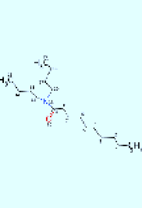 CCCCCCCCCC(=O)N(CCCC)CCCC